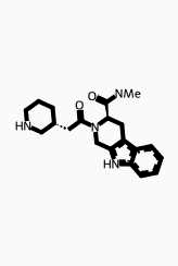 CNC(=O)[C@H]1Cc2c([nH]c3ccccc23)CN1C(=O)C[C@H]1CCCNC1